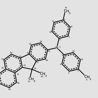 Cc1ccc(N(c2ccc(C)cc2)c2ccc3c(c2)C(C)(C)c2c-3ccc3ccccc23)cc1